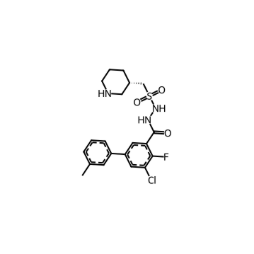 Cc1cccc(-c2cc(Cl)c(F)c(C(=O)NNS(=O)(=O)C[C@H]3CCCNC3)c2)c1